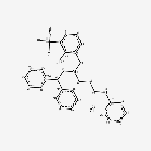 FC(F)(F)c1cccc(CN(CCCOc2ccccc2Cl)CC(c2ccccc2)c2ccccc2)c1Cl